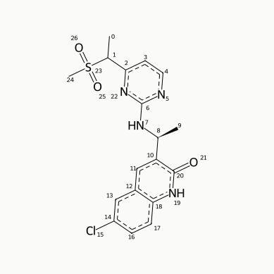 CC(c1ccnc(N[C@@H](C)c2cc3cc(Cl)ccc3[nH]c2=O)n1)S(C)(=O)=O